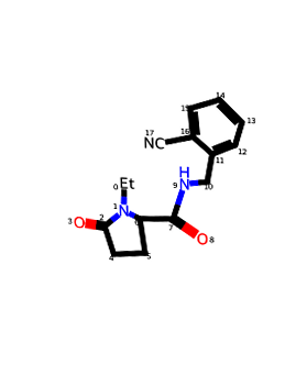 CCN1C(=O)CCC1C(=O)NCc1ccccc1C#N